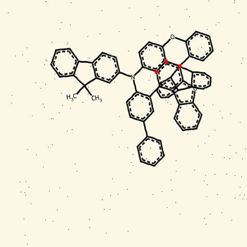 CC1(C)c2ccccc2-c2ccc(N(c3ccc4c(c3)C3(c5ccccc5O4)c4ccccc4-c4ccccc43)c3ccc(-c4ccccc4)cc3-c3cccc4oc5ccccc5c34)cc21